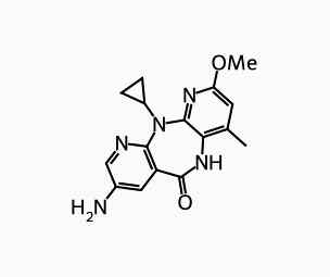 COc1cc(C)c2c(n1)N(C1CC1)c1ncc(N)cc1C(=O)N2